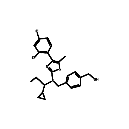 CCC(C1CC1)N(Cc1ccc(CO)cc1)c1nc(-c2ccc(Cl)cc2Cl)c(C)s1